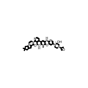 Cn1cc(-c2ccnc(-n3ccn4c5c(cc4c3=O)CC(C)(C)C5)c2CO)cc(Nc2ccc(N3CCN(C4COC4)C[C@]3(C)O)cn2)c1=O